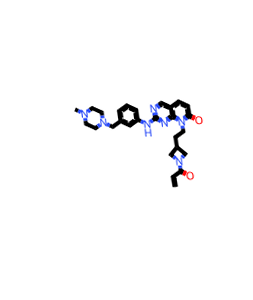 C=CC(=O)N1CC(CCn2c(=O)ccc3cnc(Nc4cccc(CN5CCN(C)CC5)c4)nc32)C1